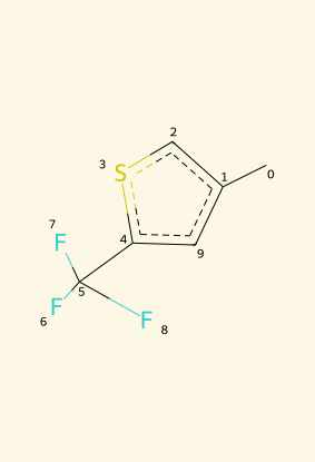 Cc1csc(C(F)(F)F)c1